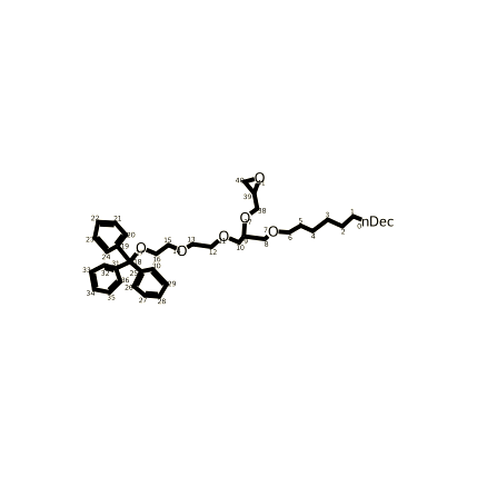 CCCCCCCCCCCCCCCCOCC(COCCOCCOC(c1ccccc1)(c1ccccc1)c1ccccc1)OCC1CO1